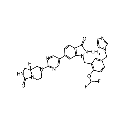 Cn1c(=O)c2ccc(-c3cnc(N4CCN5C(=O)NC[C@@H]5C4)nc3)cc2n1Cc1cc(Cn2cncn2)ccc1OC(F)F